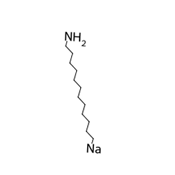 NCCCCCCCCCCC[CH2][Na]